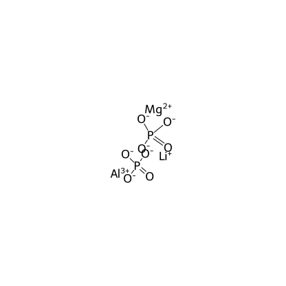 O=P([O-])([O-])[O-].O=P([O-])([O-])[O-].[Al+3].[Li+].[Mg+2]